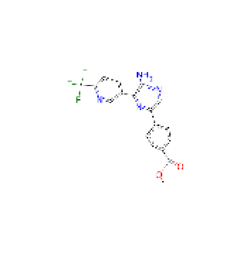 COC(=O)c1ccc(-c2cnc(N)c(-c3ccc(C(F)(F)F)nc3)n2)cc1